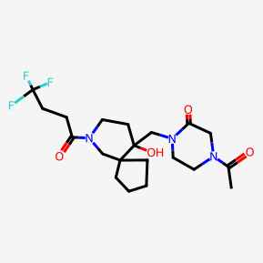 CC(=O)N1CCN(CC2(O)CCN(C(=O)CCC(F)(F)F)CC23CCCC3)C(=O)C1